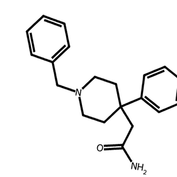 NC(=O)CC1(c2ccccc2)CCN(Cc2ccccc2)CC1